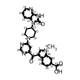 Cn1cc(C(=O)c2cc(N3CCC(n4c(=O)[nH]c5ncccc54)CC3)ncn2)c2ccc(C(=O)O)cc21